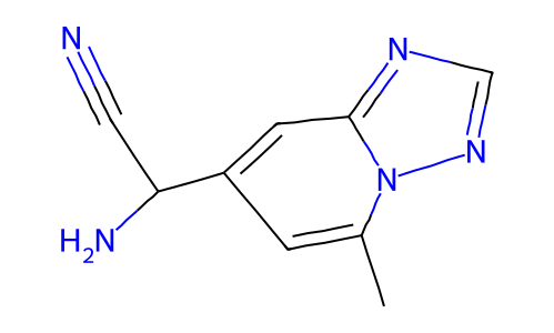 Cc1cc(C(N)C#N)cc2ncnn12